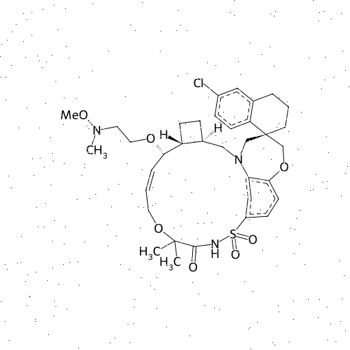 CON(C)CCO[C@H]1C=CCOC(C)(C)C(=O)NS(=O)(=O)c2ccc3c(c2)N(C[C@@H]2CC[C@H]21)C[C@@]1(CCCc2cc(Cl)ccc21)CO3